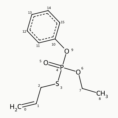 C=CCSP(=O)(OCC)Oc1ccccc1